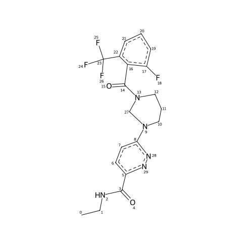 CCNC(=O)c1ccc(N2CCCN(C(=O)c3c(F)cccc3C(F)(F)F)C2)nn1